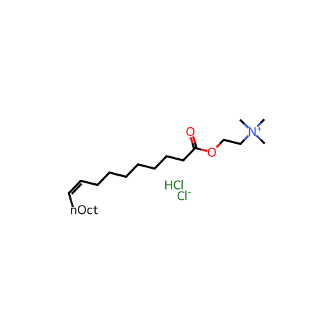 CCCCCCCC/C=C\CCCCCCCC(=O)OCC[N+](C)(C)C.Cl.[Cl-]